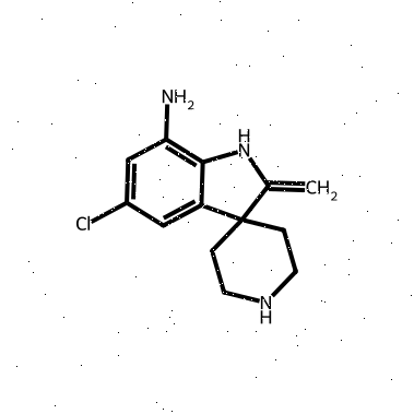 C=C1Nc2c(N)cc(Cl)cc2C12CCNCC2